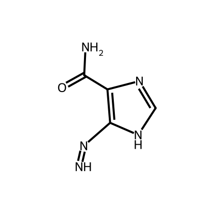 N=Nc1[nH]cnc1C(N)=O